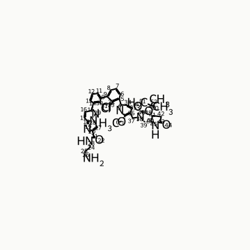 COc1nc(-c2cccc(-c3cccc(-c4ccc5nc(C(=O)NCCN)cn5n4)c3Cl)c2Cl)ccc1CN(C[C@@H]1CCC(=O)N1)C(=O)OC(C)(C)C